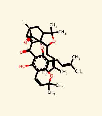 CC(C)=CCc1c2c(c(O)c3c1O[C@]14C(=C[C@@H]5CC1C(C)(C)OC4(CC=C(C)C)C5=O)C3=O)C=CC(C)(C)O2